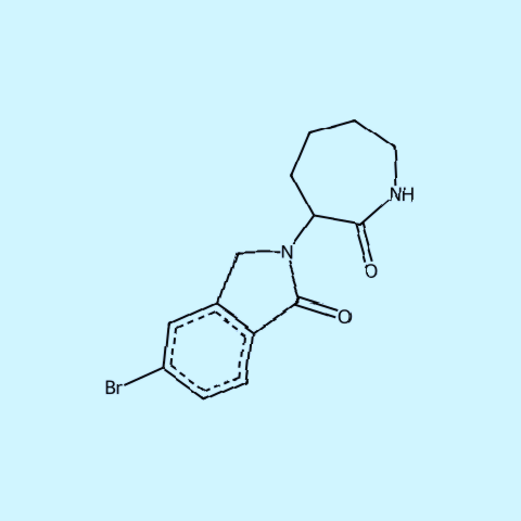 O=C1NCCCCC1N1Cc2cc(Br)ccc2C1=O